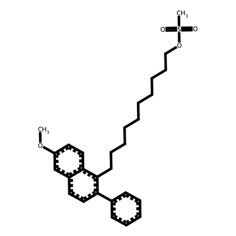 COc1ccc2c(CCCCCCCCCCOS(C)(=O)=O)c(-c3ccccc3)ccc2c1